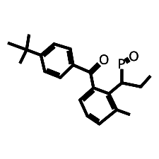 CCC(P=O)c1c(C)cccc1C(=O)c1ccc(C(C)(C)C)cc1